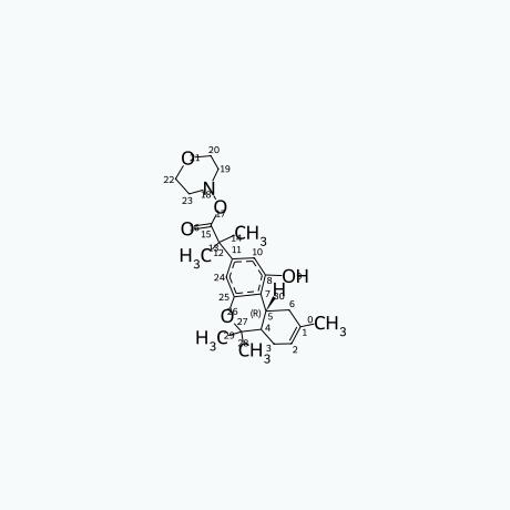 CC1=CCC2[C@@H](C1)c1c(O)cc(C(C)(C)C(=O)ON3CCOCC3)cc1OC2(C)C